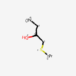 CCCSCC(O)CN=O